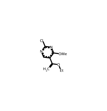 C=C(OCC)c1cnc(Cl)nc1OC